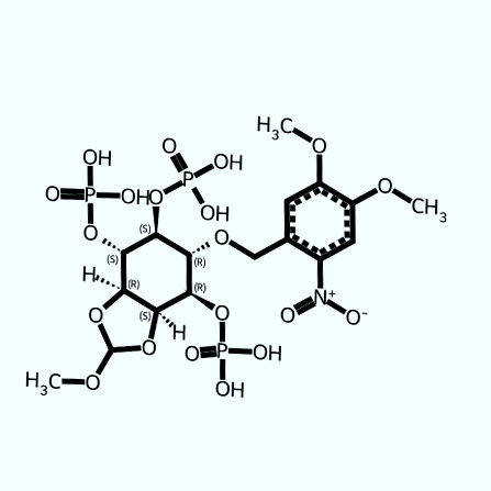 COc1cc(CO[C@@H]2[C@@H](OP(=O)(O)O)[C@H]3OC(OC)O[C@H]3[C@H](OP(=O)(O)O)[C@H]2OP(=O)(O)O)c([N+](=O)[O-])cc1OC